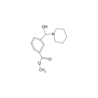 COC(=O)c1cccc(C(O)N2CCCCC2)c1